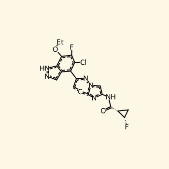 CCOc1c(F)c(Cl)c(-c2ccc3nc(NC(=O)[C@@H]4C[C@@H]4F)cn3n2)c2cn[nH]c12